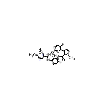 C=C/C=C\C(=C/C)C(=N)Nc1cc(NC(=O)c2c(-c3nc(OC)ncc3F)cnn2C)c(F)cn1